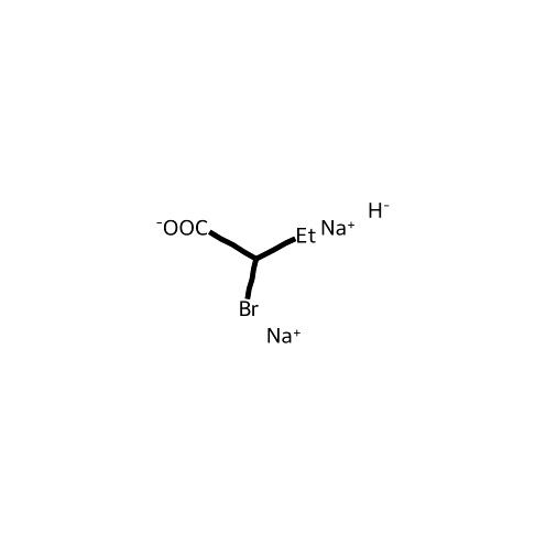 CCC(Br)C(=O)[O-].[H-].[Na+].[Na+]